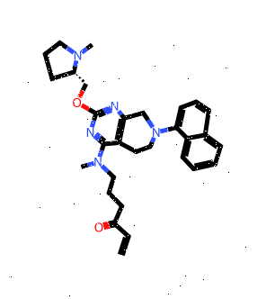 C=CC(=O)CCCN(C)c1nc(OC[C@@H]2CCCN2C)nc2c1CCN(c1cccc3ccccc13)C2